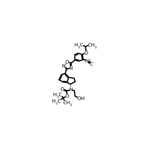 [C-]#[N+]c1cc(-c2nc(-c3cccc4c3CC[C@@H]4N(CCO)C(=O)OC(C)(C)C)no2)ccc1OC(C)C